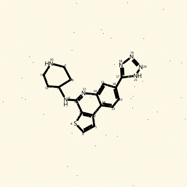 c1cc2c(s1)c(NC1CCNCC1)nc1cc(-c3nnn[nH]3)ccc12